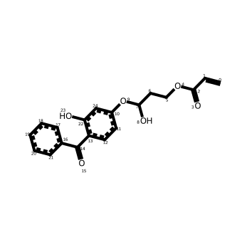 C=CC(=O)OCCC(O)Oc1ccc(C(=O)c2ccccc2)c(O)c1